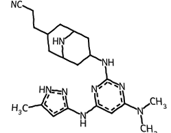 Cc1cc(Nc2cc(N(C)C)nc(NC3CC4CC(CCC#N)CC(C3)N4)n2)n[nH]1